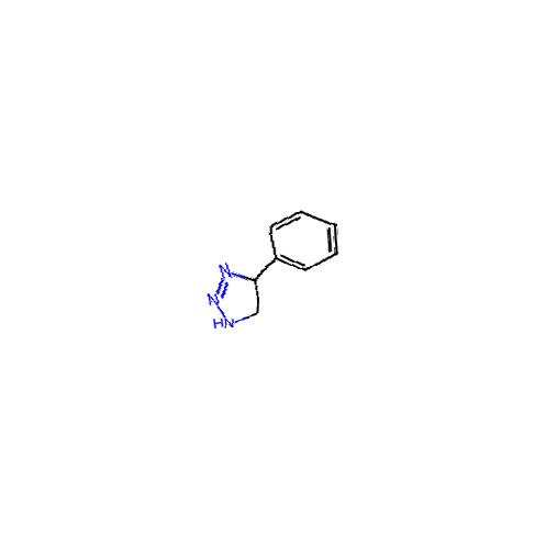 c1ccc(C2CNN=N2)cc1